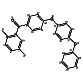 Cc1ccc(C)c(C(=O)c2ccc(Oc3ccc(Oc4ccccc4)cc3)cc2)c1